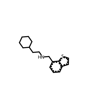 c1cc(CNCCC2CCCCC2)c2sccc2c1